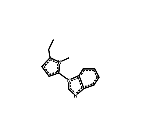 CCc1ccc(-n2cnc3ccccc32)n1C